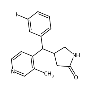 Cc1cnccc1C(c1cccc(I)c1)C1CNC(=O)C1